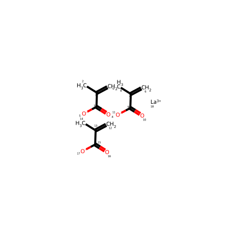 C=C(C)C(=O)[O-].C=C(C)C(=O)[O-].C=C(C)C(=O)[O-].[La+3]